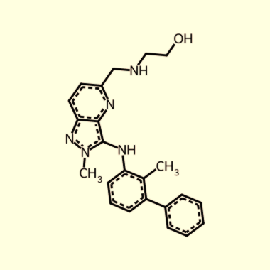 Cc1c(Nc2c3nc(CNCCO)ccc3nn2C)cccc1-c1ccccc1